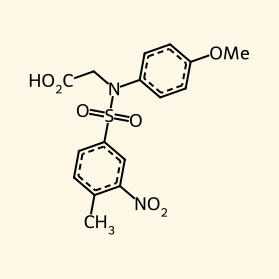 COc1ccc(N(CC(=O)O)S(=O)(=O)c2ccc(C)c([N+](=O)[O-])c2)cc1